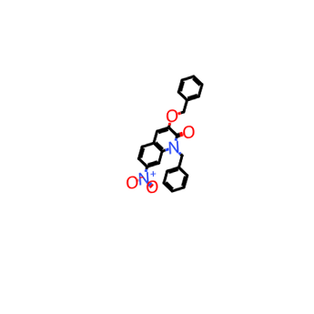 O=c1c(OCc2ccccc2)cc2ccc([N+](=O)[O-])cc2n1Cc1ccccc1